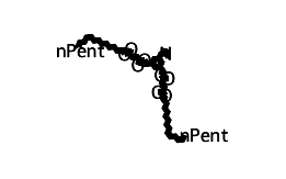 CCCCC/C=C\C/C=C\CCCCCCCCOC(=O)CCC(=O)OCc1cc(COC(=O)CCC(=O)OCCCCCCCC/C=C\C/C=C\CCCCC)cc(CN(C)C)c1